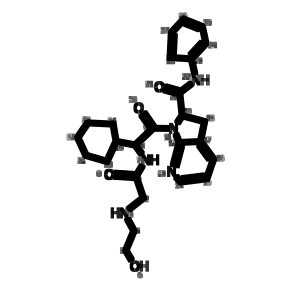 O=C(CNCCO)NC(C(=O)N1c2ncccc2CC1C(=O)Nc1ccccc1)C1CCCCC1